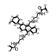 C=C(C)C(=O)NCCCNCc1c2ccccc2c(CNCCCNC(=O)C(=C)C)c2cc(-c3cccc(C)c3)ccc12